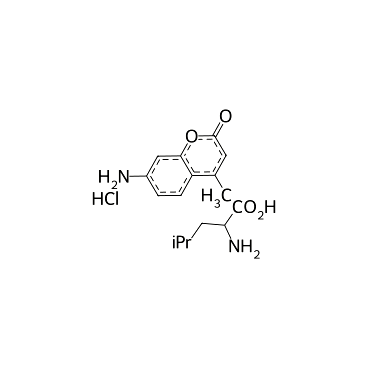 CC(C)CC(N)C(=O)O.Cc1cc(=O)oc2cc(N)ccc12.Cl